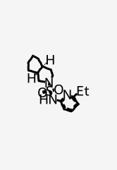 CCc1cccc(NS(=O)(=O)N2CC[C@@H]3CCCC[C@@H]3C2)n1